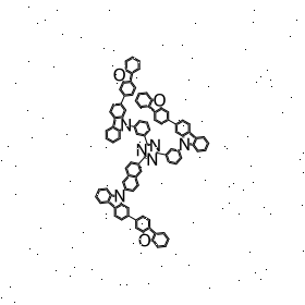 c1cc(-c2nc(-c3cccc(-n4c5ccccc5c5ccc(-c6ccc7c(c6)oc6ccccc67)cc54)c3)nc(-c3ccc4cc(-n5c6ccccc6c6ccc(-c7ccc8c(c7)oc7ccccc78)cc65)ccc4c3)n2)cc(-n2c3ccccc3c3ccc(-c4ccc5c(c4)oc4ccccc45)cc32)c1